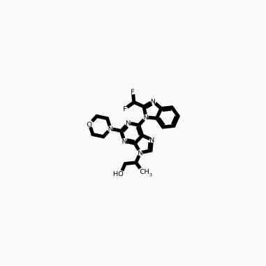 CC(CO)n1cnc2c(-n3c(C(F)F)nc4ccccc43)nc(N3CCOCC3)nc21